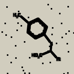 CCC(Sc1ccc(C)cc1)C(=O)O